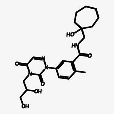 Cc1ccc(-n2ncc(=O)n(CC(O)CO)c2=O)cc1C(=O)NCC1(O)CCCCCC1